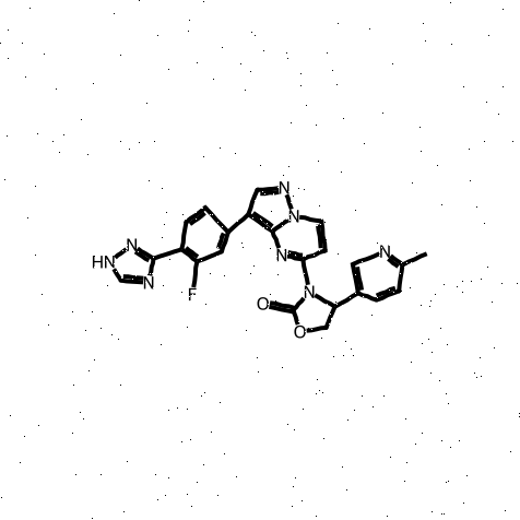 Cc1ccc(C2COC(=O)N2c2ccn3ncc(-c4ccc(-c5nc[nH]n5)c(F)c4)c3n2)cn1